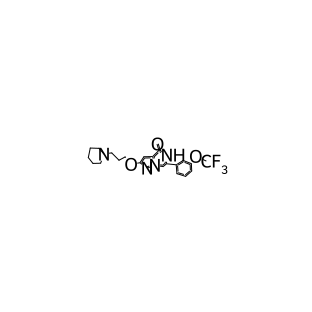 O=c1[nH]c(-c2cccc(OC(F)(F)F)c2)cn2nc(OCCCN3CCCCC3)cc12